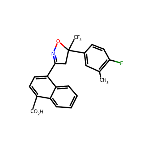 Cc1cc(C2(C(F)(F)F)CC(c3ccc(C(=O)O)c4ccccc34)=NO2)ccc1F